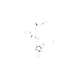 CC(C)(C)OC(=O)CCC(NCc1cc(Br)sc1C(=O)O)C(N)=O